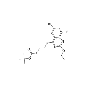 CCOc1nc(OCCOC(=O)OC(C)(C)C)c2cc(Br)cc(F)c2n1